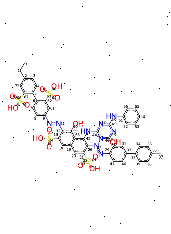 CCc1ccc(-c2ccc(/N=N/c3c(S(=O)(=O)O)cc4cc(S(=O)(=O)O)c(/N=N/c5ccc(-c6ccc(C)cc6)cc5)c(Nc5nc(O)nc(Nc6ccccc6)n5)c4c3O)cc2S(=O)(=O)O)c(S(=O)(=O)O)c1